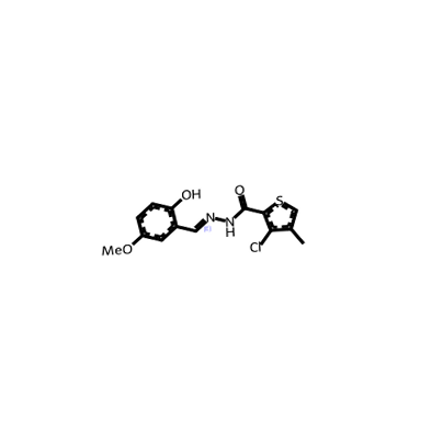 COc1ccc(O)c(/C=N/NC(=O)c2scc(C)c2Cl)c1